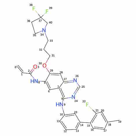 C=CC(=O)Nc1cc2c(Nc3cccc(-c4ccc(C)cc4F)c3)ncnc2cc1OCCCN1CCC(F)(F)C1